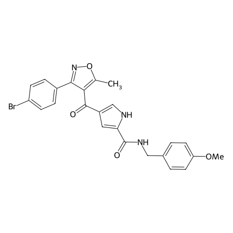 COc1ccc(CNC(=O)c2cc(C(=O)c3c(-c4ccc(Br)cc4)noc3C)c[nH]2)cc1